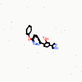 Oc1cc(-c2cn[nH]c2)ccc1-c1ccc(OC2CCCCC2)nn1